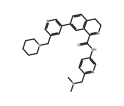 CN(C)Cc1ccc(NC(=O)C2=NCCc3ccc(-c4cncc(CN5CCCCC5)c4)cc32)cn1